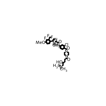 COc1ccc(-c2cnc(C(=O)Nc3ccc(C(=O)N4CCN(C(=O)CC[C@@H](O)CN(C)C)CC4)c(Cl)c3)n2C)c(C(F)F)c1F